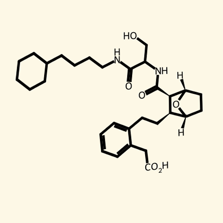 O=C(O)Cc1ccccc1CC[C@H]1[C@@H](C(=O)NC(CO)C(=O)NCCCCC2CCCCC2)[C@@H]2CC[C@H]1O2